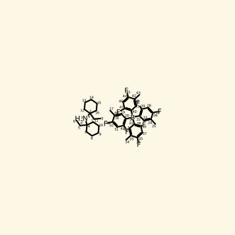 CCC1([NH2+]C2(CC)CCCCC2)CCCCC1.Cc1cc([B-](c2cc(C)c(F)cc2F)(c2cc(C)c(F)cc2F)c2cc(C)c(F)cc2F)c(F)cc1F